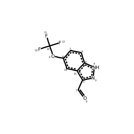 O=Cc1n[nH]c2ccc(OC(F)(F)F)cc12